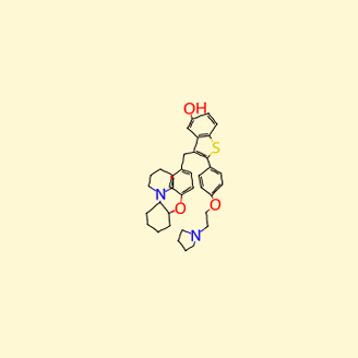 Oc1ccc2sc(-c3ccc(OCCN4CCCC4)cc3)c(Cc3ccc(O[C@H]4CCCC[C@@H]4N4CCCCC4)cc3)c2c1